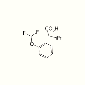 CC(C)CC(=O)O.FC(F)Oc1ccccc1